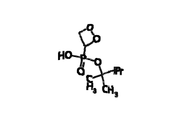 CC(C)C(C)(C)OP(=O)(O)C1COO1